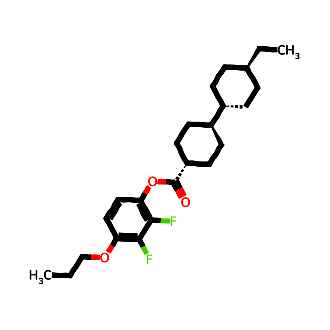 CCCOc1ccc(OC(=O)[C@H]2CC[C@H]([C@H]3CC[C@H](CC)CC3)CC2)c(F)c1F